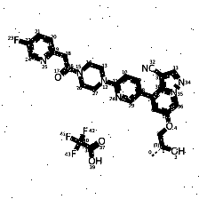 C[C@@H](O)COc1cc(-c2ccc(N3CCN(C(=O)Cc4ccc(F)cn4)CC3)nc2)c2c(C#N)cnn2c1.O=C(O)C(F)(F)F